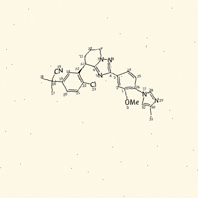 COc1cc(-c2nc3n(n2)CCC[C@@H]3c2cc(C(C)(C)C#N)ccc2Cl)ccc1-n1cnc(C)c1